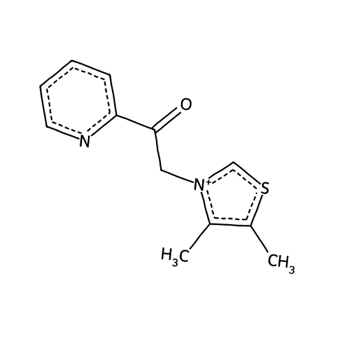 Cc1sc[n+](CC(=O)c2ccccn2)c1C